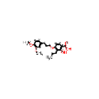 CCCc1c(OCCCc2ccc(OC)c(OC)c2)ccc(C(=O)O)c1O